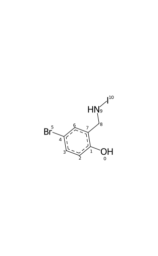 Oc1ccc(Br)cc1CNI